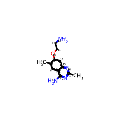 Cc1nc(N)c2cc(C)c(OCCN)cc2n1